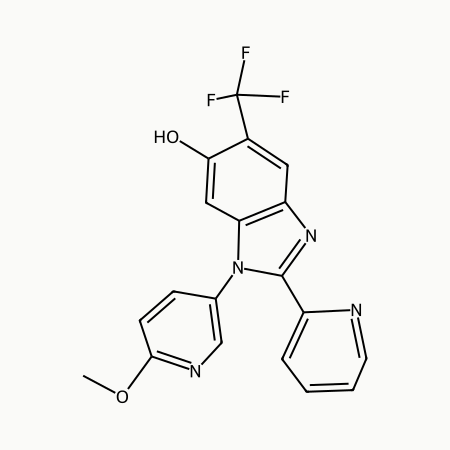 COc1ccc(-n2c(-c3ccccn3)nc3cc(C(F)(F)F)c(O)cc32)cn1